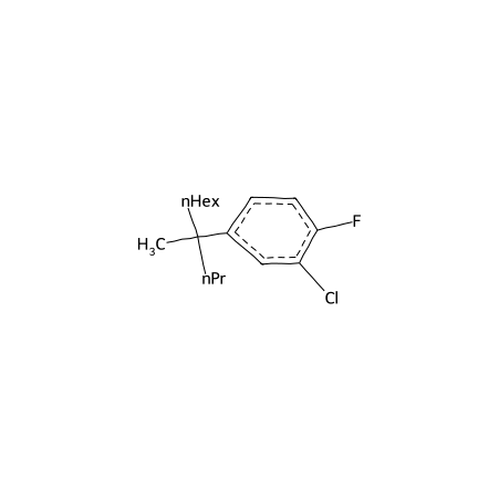 CCCCCCC(C)(CCC)c1ccc(F)c(Cl)c1